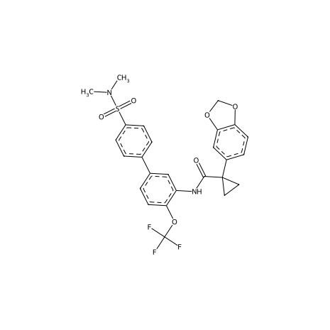 CN(C)S(=O)(=O)c1ccc(-c2ccc(OC(F)(F)F)c(NC(=O)C3(c4ccc5c(c4)OCO5)CC3)c2)cc1